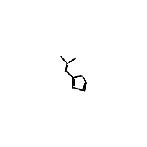 CN(C)[CH]c1cccs1